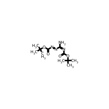 CC(C)(C)OC(=O)N=N/C(N)=N\C(=O)OC(C)(C)C